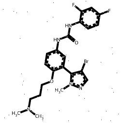 CN(C)CCCOc1ccc(NC(=O)Nc2ccc(F)cc2F)cc1-c1c(Br)cnn1C